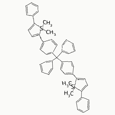 C[Si]1(C)C(c2ccccc2)=CC=C1c1ccc(C(c2ccccc2)(c2ccccc2)c2ccc(C3=CC=C(c4ccccc4)[Si]3(C)C)cc2)cc1